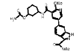 CNC(=O)c1n[nH]c2cc(-c3cnc(OC)c(C(=O)NC4CCCC(OC(N)=O)C4)c3)ccc12